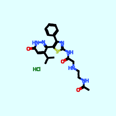 CC(=O)NCCNCC(=O)Nc1nc(-c2ccccc2)c(-c2n[nH]c(=O)cc2C(C)C)s1.Cl